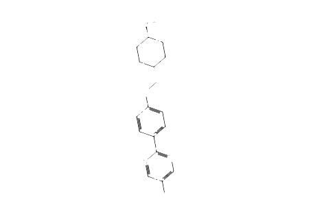 CCCCC[C@H]1CC[C@H](COc2ccc(-c3ncc(O)cn3)cc2)CC1